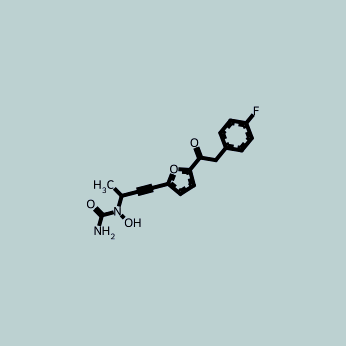 CC(C#Cc1ccc(C(=O)Cc2ccc(F)cc2)o1)N(O)C(N)=O